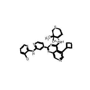 CC1(C)CNCC[C@@H]1Nc1nc(-c2ccnc(Nc3ncccc3Cl)c2)nc2cncc(C3CCC3)c12